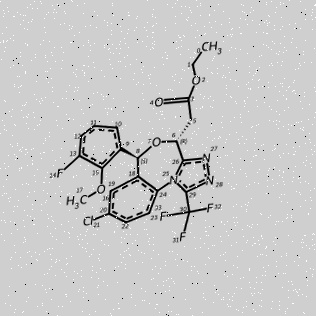 CCOC(=O)C[C@H]1O[C@H](c2cccc(F)c2OC)c2cc(Cl)ccc2-n2c1nnc2C(F)(F)F